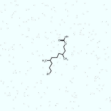 CCCC(=O)OCCC(C)CCCC(C)CCCC(C)C